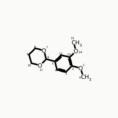 COc1ccc(C2OCCCO2)cc1OC